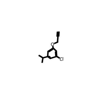 C#CCOc1cc(Cl)cc(C(C)C)c1